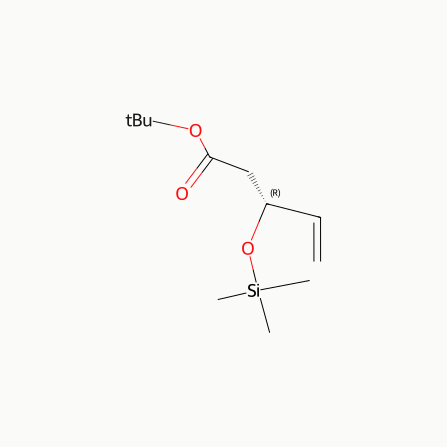 C=C[C@@H](CC(=O)OC(C)(C)C)O[Si](C)(C)C